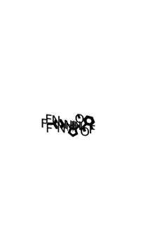 COc1cccc(F)c1C(=O)NC1CCC[C@@H]1Nc1cnc(C(F)(F)F)cn1